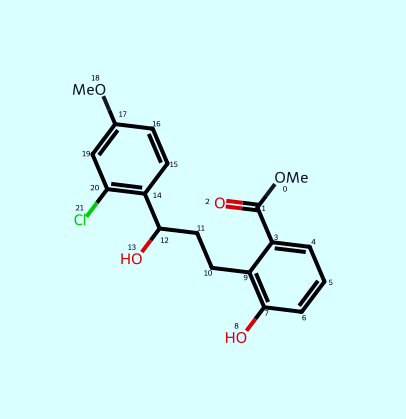 COC(=O)c1cccc(O)c1CCC(O)c1ccc(OC)cc1Cl